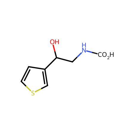 O=C(O)NCC(O)c1ccsc1